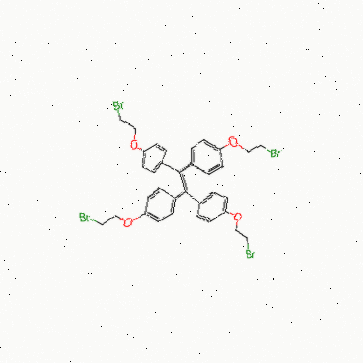 BrCCOc1ccc(C(=C(c2ccc(OCCBr)cc2)c2ccc(OCCBr)cc2)c2ccc(OCCBr)cc2)cc1